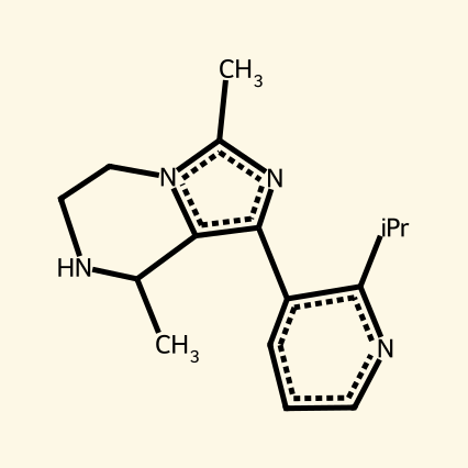 Cc1nc(-c2cccnc2C(C)C)c2n1CCNC2C